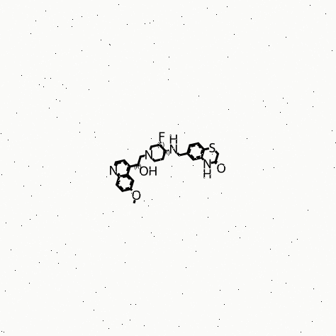 COc1ccc2nccc([C@@H](O)CN3CC[C@@H](NCc4ccc5c(c4)NC(=O)CS5)[C@@H](F)C3)c2c1